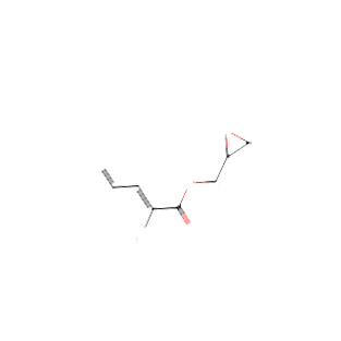 [CH]=CC=C(C)C(=O)OCC1CO1